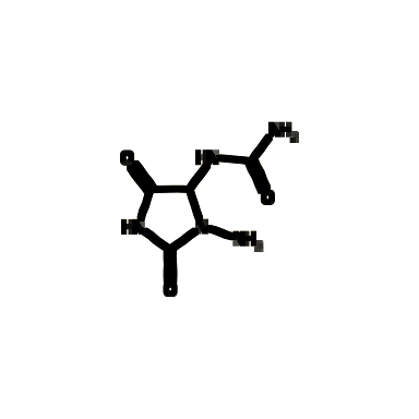 NC(=O)NC1C(=O)NC(=O)N1N